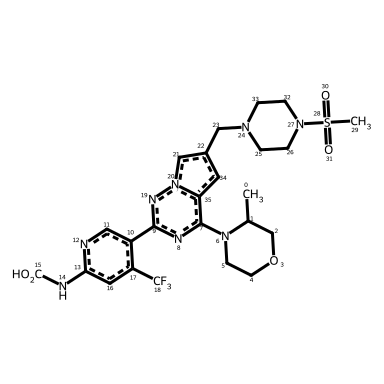 CC1COCCN1c1nc(-c2cnc(NC(=O)O)cc2C(F)(F)F)nn2cc(CN3CCN(S(C)(=O)=O)CC3)cc12